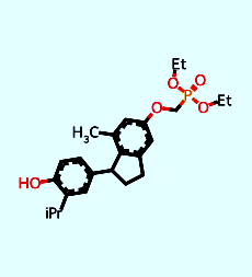 CCOP(=O)(COc1cc(C)c2c(c1)CCC2c1ccc(O)c(C(C)C)c1)OCC